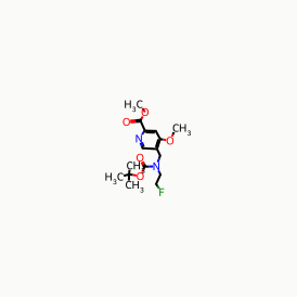 COC(=O)c1cc(OC)c(CN(CCF)C(=O)OC(C)(C)C)cn1